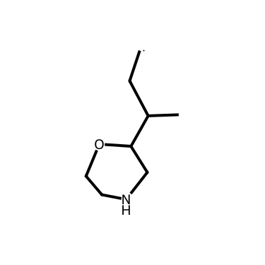 [CH2]CC(C)C1CNCCO1